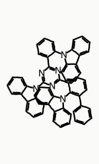 c1ccc(-c2cccc(-c3nc(-c4ccccc4-n4c5ccccc5c5ccccc54)nc(-n4c5ccccc5c5ccccc54)n3)c2-n2c3ccccc3c3ccccc32)cc1